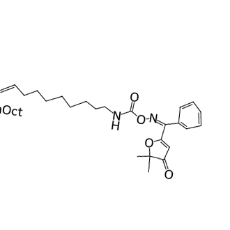 CCCCCCCC/C=C\CCCCCCCCNC(=O)O/N=C(\C1=CC(=O)C(C)(C)O1)c1ccccc1